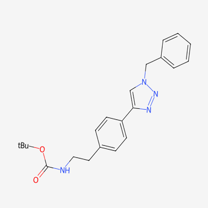 CC(C)(C)OC(=O)NCCc1ccc(-c2cn(Cc3ccccc3)nn2)cc1